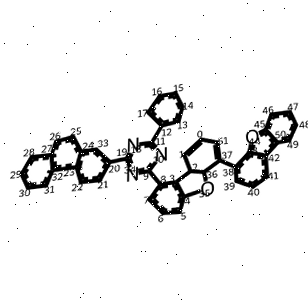 C1=CC2c3c(cccc3-c3nc(-c4ccccc4)nc(-c4ccc5c(ccc6ccccc65)c4)n3)OC2C(c2cccc3c2oc2ccccc23)=C1